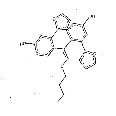 CCCCON=C(c1ccc(O)cc1-c1ccco1)c1ccc(O)cc1-c1ccco1